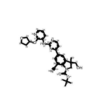 CC(C)(C)OC(=O)N1CC(C)(CO)c2cc(-c3ccnc(Nc4cccnc4OC4CCOC4)n3)cc(C#N)c21